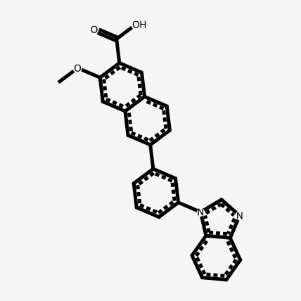 COc1cc2cc(-c3cccc(-n4cnc5ccccc54)c3)ccc2cc1C(=O)O